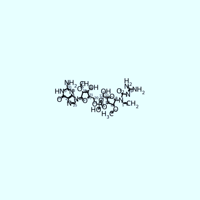 C=CN(C(=O)N=C(N)N)[C@@H]1O[C@H](CO)[C@H](OP(=O)(O)OC[C@H]2O[C@@H](n3cnc4c(=O)[nH]c(N)nc43)C(OC)[C@H]2O)C1OC